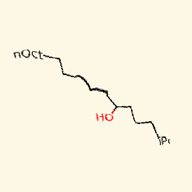 CCCCCCCCCCCCCC(O)CCCC(C)C